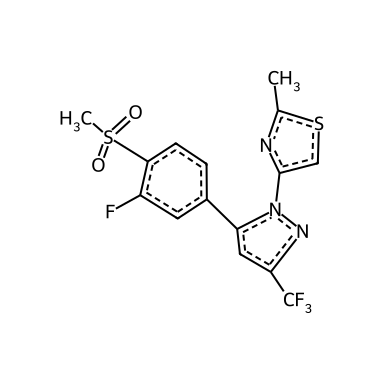 Cc1nc(-n2nc(C(F)(F)F)cc2-c2ccc(S(C)(=O)=O)c(F)c2)cs1